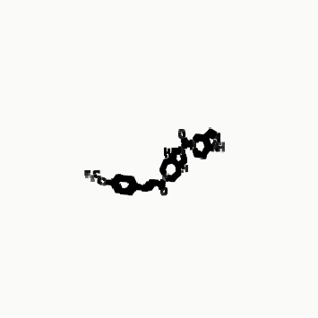 O=C(/C=C/c1ccc(OC(F)(F)F)cc1)N1CC[C@@H]2CN(C(=O)N3CCc4[nH]ncc4C3)C[C@@H]2CC1